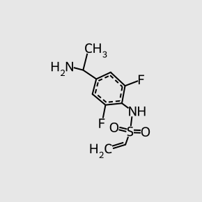 C=CS(=O)(=O)Nc1c(F)cc(C(C)N)cc1F